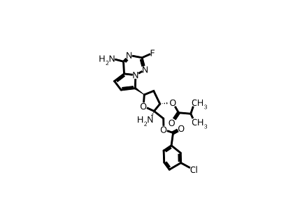 CC(C)C(=O)O[C@H]1C[C@H](c2ccc3c(N)nc(F)nn23)O[C@]1(N)COC(=O)c1cccc(Cl)c1